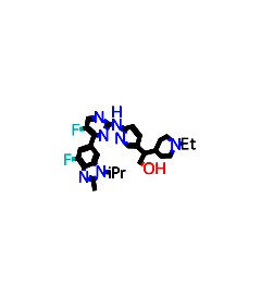 CCN1CCC(C(CO)c2ccc(Nc3ncc(F)c(-c4cc(F)c5nc(C)n(C(C)C)c5c4)n3)nc2)CC1